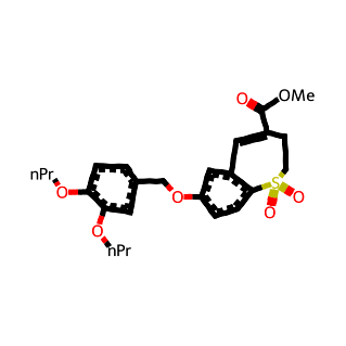 CCCOc1ccc(COc2ccc3c(c2)C=C(C(=O)OC)CCS3(=O)=O)cc1OCCC